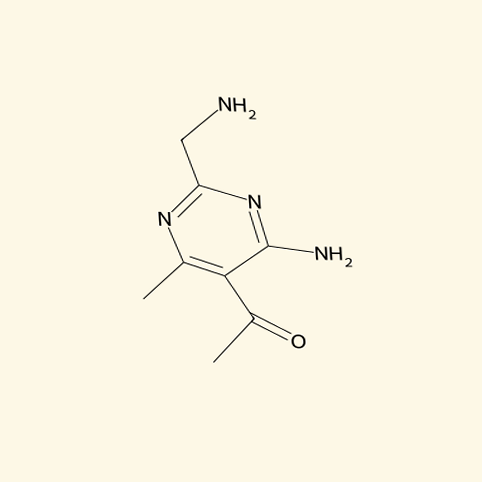 CC(=O)c1c(C)nc(CN)nc1N